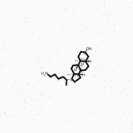 CC(CCCCN)[C@H]1CC[C@H]2[C@@H]3CC[C@H]4C[C@@H](O)CC[C@]4(C)[C@H]3CC[C@]12C